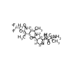 CC1=C(OCC(F)F)N(C)CC(C(C)N2Cc3c(ccnc3NC(=O)C(C)(C)N)C2=O)=C1